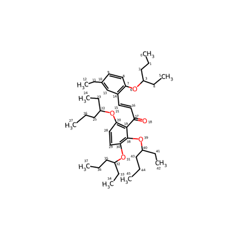 CCCC(CC)Oc1ccc(CC)cc1C=CC(=O)c1c(OC(CC)CCC)ccc(OC(CC)CCC)c1OC(CC)CCC